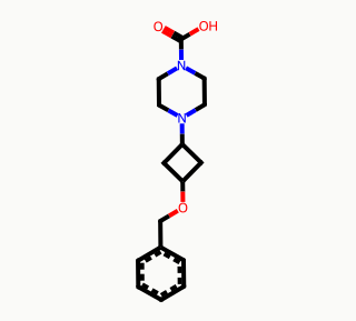 O=C(O)N1CCN(C2CC(OCc3ccccc3)C2)CC1